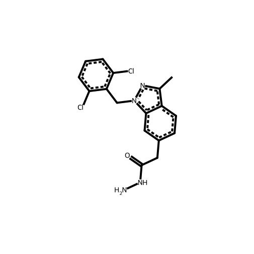 Cc1nn(Cc2c(Cl)cccc2Cl)c2cc(CC(=O)NN)ccc12